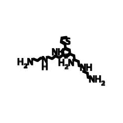 NCCCNCCC(N)Cc1cc(CC(N)CCNCCCN)cc(-c2cccs2)c1